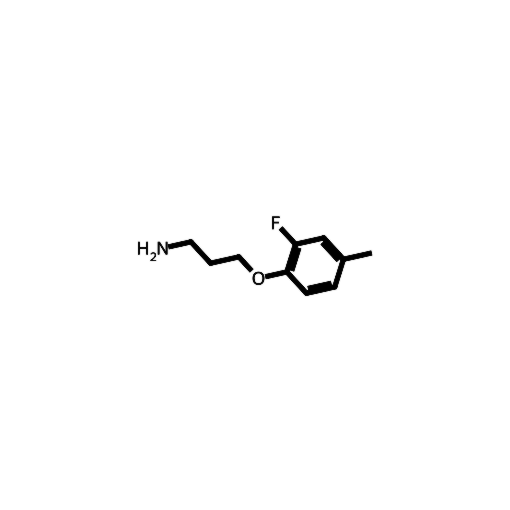 Cc1ccc(OCCCN)c(F)c1